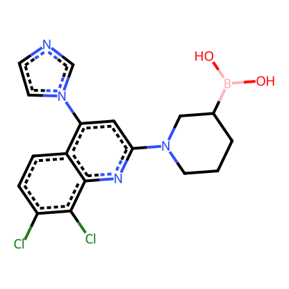 OB(O)C1CCCN(c2cc(-n3ccnc3)c3ccc(Cl)c(Cl)c3n2)C1